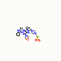 CCc1nc2ccccc2n1-c1nc(N2CCOCC2)c2nc(CN3CCN(CCC[SH](=O)=O)CC3)n(C)c2n1